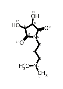 CN(C)CCCN1C(=O)C(O)C(O)C1=O